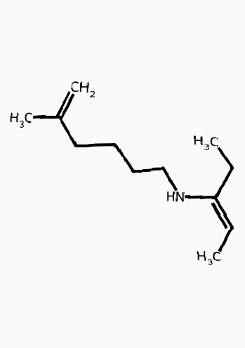 C=C(C)CCCCN/C(=C\C)CC